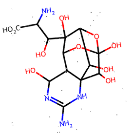 NC1=NC(O)C2C3OC4(O)OC(C(O)C2(N1)C4O)C3(O)C(O)C(N)C(=O)O